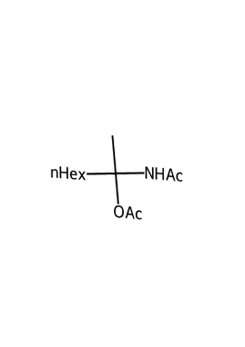 CCCCCCC(C)(NC(C)=O)OC(C)=O